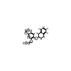 CCCCOc1ccc(OC2CCc3ccccc3C2)c(OCCCC)n1